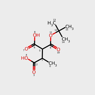 CC(C(=O)O)C(C(=O)O)C(=O)OC(C)(C)C